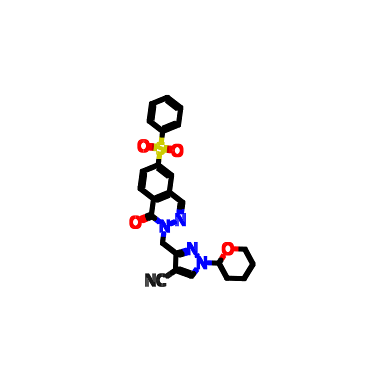 N#Cc1cn(C2CCCCO2)nc1Cn1ncc2cc(S(=O)(=O)c3ccccc3)ccc2c1=O